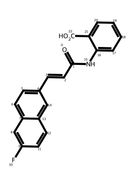 O=C(C=Cc1ccc2cc(F)ccc2c1)Nc1ccccc1C(=O)O